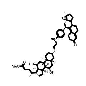 COC(=O)CC[C@@H](C)[C@H]1CC[C@H]2[C@@H]3[C@H](O)C[C@@H]4C[C@@H](OCCN(C)c5ccc([C@H]6C[C@]78O[C@@]7(C)CCC8C7CCC8=CC(=O)CCC8=C76)cc5)CC[C@]4(C)[C@H]3C[C@H](O)[C@]12C